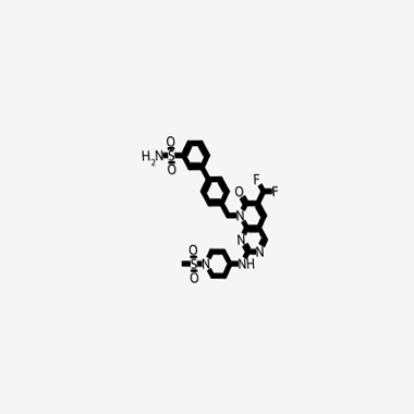 CS(=O)(=O)N1CCC(Nc2ncc3cc(C(F)F)c(=O)n(Cc4ccc(-c5cccc(S(N)(=O)=O)c5)cc4)c3n2)CC1